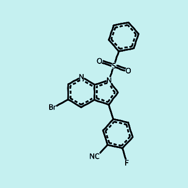 N#Cc1cc(-c2cn(S(=O)(=O)c3ccccc3)c3ncc(Br)cc23)ccc1F